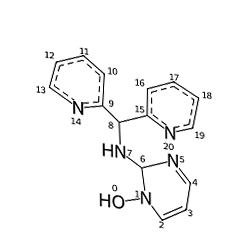 ON1C=CC=NC1NC(c1ccccn1)c1ccccn1